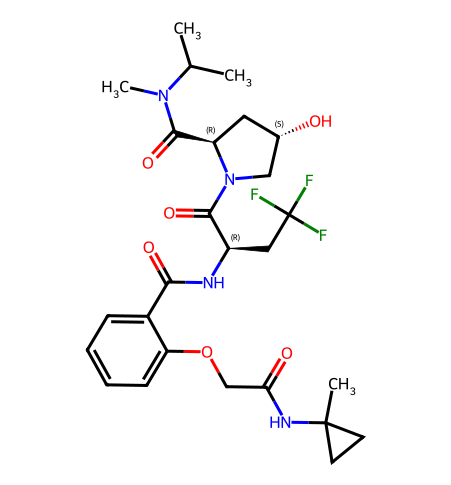 CC(C)N(C)C(=O)[C@H]1C[C@H](O)CN1C(=O)[C@@H](CC(F)(F)F)NC(=O)c1ccccc1OCC(=O)NC1(C)CC1